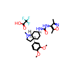 COc1ccc([C@@]23CC[C@@H](NC(=O)Nc4c(C)noc4C)C[C@@H]2N(C)CC3)cc1OC.O=C(O)C(F)(F)F